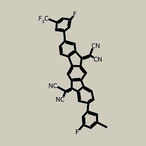 Cc1cc(F)cc(-c2ccc3c(c2)C(=C(C#N)C#N)c2cc4c(cc2-3)C(=C(C#N)C#N)c2cc(-c3cc(F)cc(C(F)(F)F)c3)ccc2-4)c1